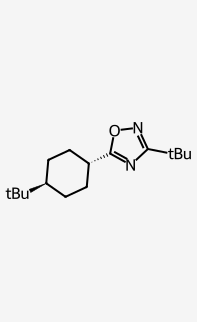 CC(C)(C)c1noc([C@H]2CC[C@H](C(C)(C)C)CC2)n1